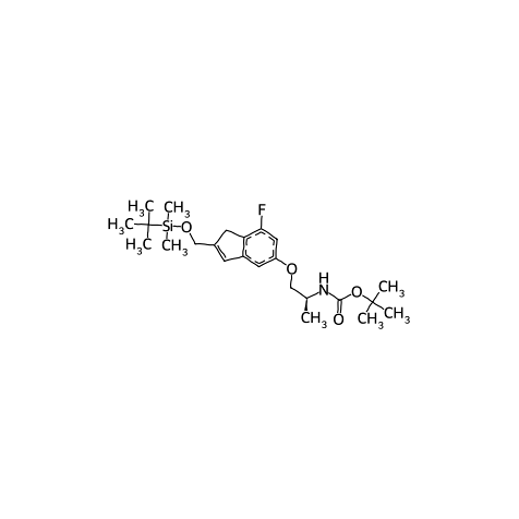 C[C@@H](COc1cc(F)c2c(c1)C=C(CO[Si](C)(C)C(C)(C)C)C2)NC(=O)OC(C)(C)C